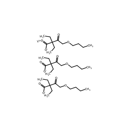 CCCCOCC(=O)C(CC)(CC)C(=O)[O-].CCCCOCC(=O)C(CC)(CC)C(=O)[O-].CCCCOCC(=O)C(CC)(CC)C(=O)[O-].[Y+3]